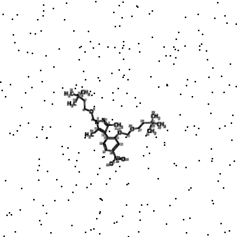 Cc1nn(COCC[Si](C)(C)C)c(C)c1-c1ccc([N+](=O)[O-])cc1OCOCC[Si](C)(C)C